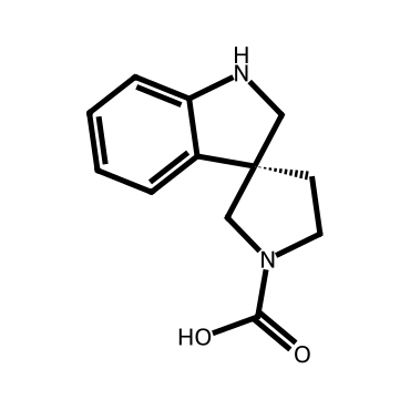 O=C(O)N1CC[C@]2(CNc3ccccc32)C1